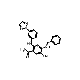 N#Cc1cc(C(N)=O)c(Nc2cccc(-n3nccn3)c2)nc1NCc1ccccc1